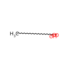 CCCCCCCCCCCCCCCCCCCCCCCCC(O)COC=O